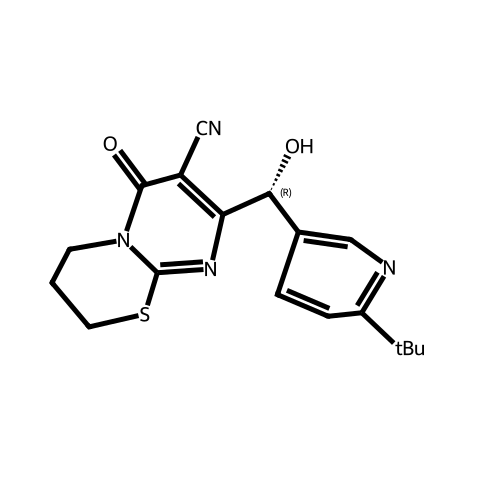 CC(C)(C)c1ccc([C@@H](O)c2nc3n(c(=O)c2C#N)CCCS3)cn1